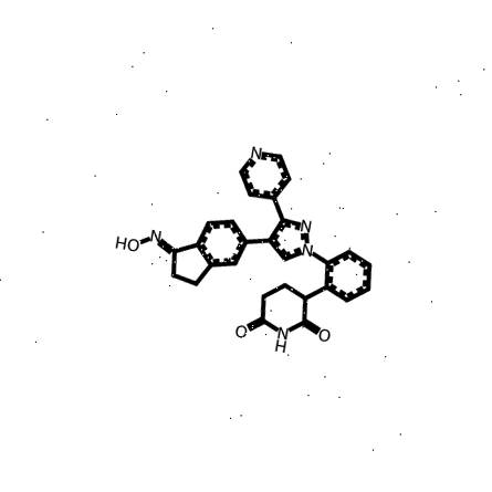 O=C1CCC(c2ccc[c]c2-n2cc(-c3ccc4c(c3)CC/C4=N\O)c(-c3ccncc3)n2)C(=O)N1